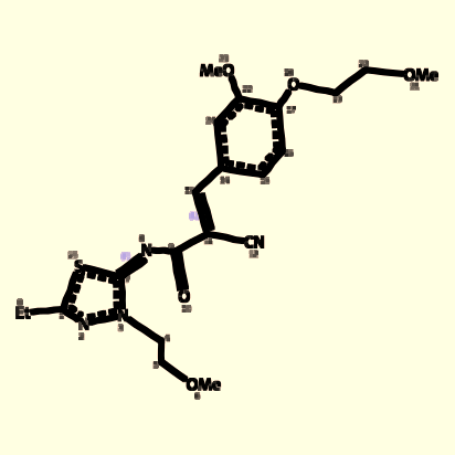 CCc1nn(CCOC)/c(=N\C(=O)/C(C#N)=C/c2ccc(OCCOC)c(OC)c2)s1